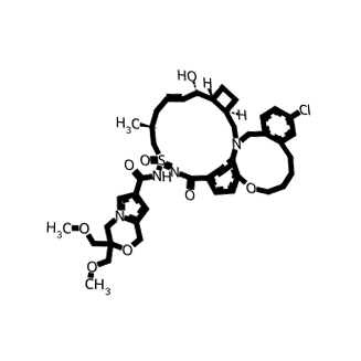 COCC1(COC)Cn2cc(C(=O)NS3(=O)=NC(=O)c4ccc5c(c4)N(Cc4ccc(Cl)cc4CCCCO5)C[C@@H]4CC[C@H]4[C@@H](O)/C=C/C[C@H](C)C3)cc2CO1